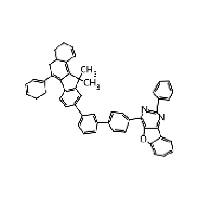 CC1(C)C2=C3C=CCCC3CC(C3=CC=CCC3)=C2c2ccc(-c3cccc(-c4ccc(-c5nc(-c6ccccc6)nc6c5oc5ccccc56)cc4)c3)cc21